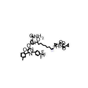 Cc1ccc2oc3c(O[C@@H]4C[C@@H](C(N)=O)N(C(=O)CCCCCC/C=C\[C@@H]5C[C@@H]5C(=O)NS(=O)(=O)C5CC5)C4)nc(-c4ccc(C(F)(F)F)cc4)nc3c2c1